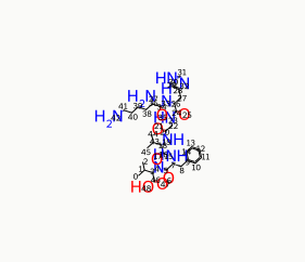 CC(C)[C@H](NC(=O)[C@H](Cc1ccccc1)NC(=O)[C@@H](NC(=O)CNC(=O)[C@H](Cc1c[nH]cn1)NC(=O)[C@@H](N)CCCCN)C(C)C)C(=O)O